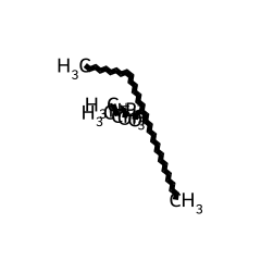 CCCCCCCC/C=C\CCCCCCC(CCCCCCCCCCCCCCCCCC)C(=O)[P-]C(O)C[N+](C)(C)C